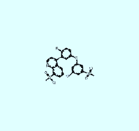 CS(=O)(=O)c1cc(Cl)cc(Oc2ccc(F)c(-c3ccnc4c(S(C)(=O)=O)cccc34)c2)c1